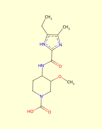 CCc1[nH]c(C(=O)NC2CCN(C(=O)O)CC2OC)nc1C